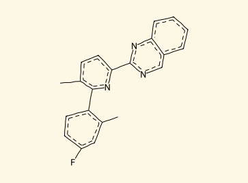 Cc1cc(F)ccc1-c1nc(-c2ncc3ccccc3n2)ccc1C